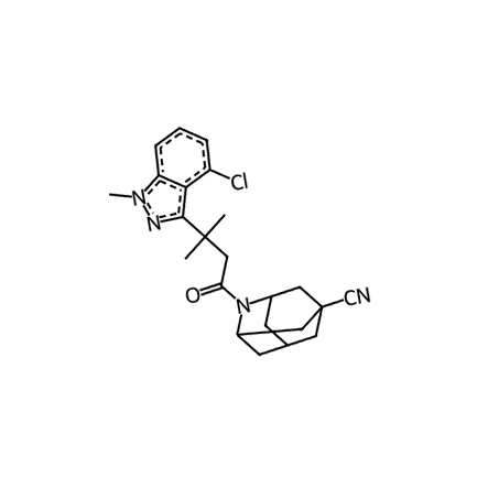 Cn1nc(C(C)(C)CC(=O)N2C3CC4CC2CC(C#N)(C4)C3)c2c(Cl)cccc21